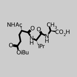 CC(=O)N[C@@H](CCC(=O)OCC(C)C)C(=O)N[C@H](C(=O)N[C@@H](C)C(=O)O)C(C)C